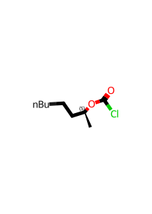 CCCCCC[C@H](C)OC(=O)Cl